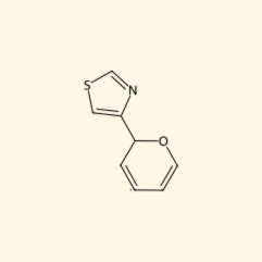 [C]1=CC(c2cscn2)OC=C1